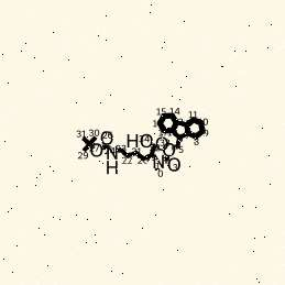 CN(C(=O)OCC1c2ccccc2-c2ccccc21)C(CCCCNC(=O)OC(C)(C)C)C(=O)O